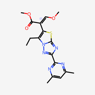 CCc1c(/C(=C\OC)C(=O)OC)sc2nc(-c3nc(C)cc(C)n3)nn12